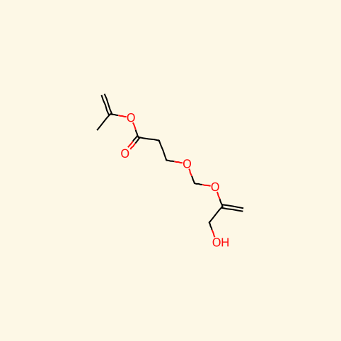 C=C(C)OC(=O)CCOCOC(=C)CO